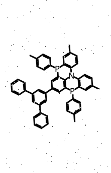 Cc1ccc(P2c3cc(C)ccc3N3c4ccc(C)cc4P(c4ccc(C)cc4)c4cc(-c5cc(-c6ccccc6)cc(-c6ccccc6)c5)cc2c43)cc1